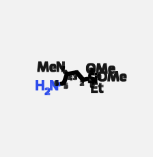 CC[Si](CCC(CN)NC)(OC)OC